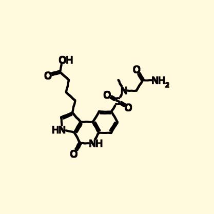 CN(CC(N)=O)S(=O)(=O)c1ccc2[nH]c(=O)c3[nH]cc(CCCC(=O)O)c3c2c1